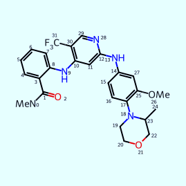 CNC(=O)c1ccccc1Nc1cc(Nc2ccc(N3CCOCC3C)c(OC)c2)ncc1C(F)(F)F